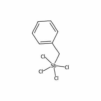 [Cl][Sb]([Cl])([Cl])([Cl])[CH2]c1ccccc1